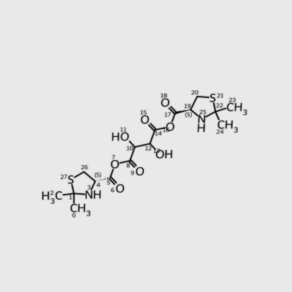 CC1(C)N[C@@H](C(=O)OC(=O)C(O)C(O)C(=O)OC(=O)[C@H]2CSC(C)(C)N2)CS1